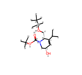 CC(C)C1=C[C@H](O)CN(C(=O)OC(C)(C)C)[C@@H]1CO[Si](C)(C)C(C)(C)C